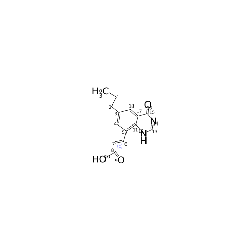 CCCc1cc(/C=C/C(=O)O)c2[nH]cnc(=O)c2c1